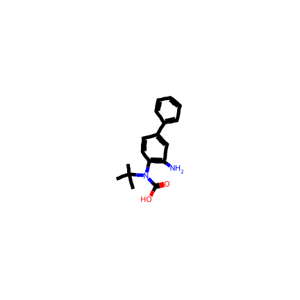 CC(C)(C)N(C(=O)O)c1ccc(-c2ccccc2)cc1N